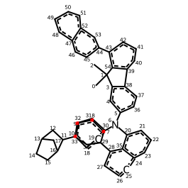 CC1(C)c2cc(N(c3ccc(C4CC5CCC4C5)cc3)c3cccc4cccc(C5CCCCC5)c34)ccc2-c2cccc(-c3ccc4ccccc4c3)c21